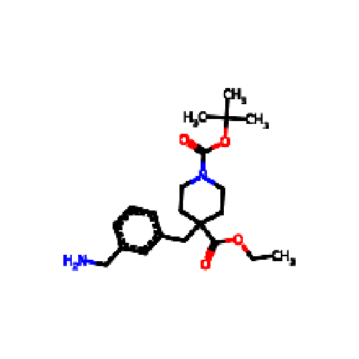 CCOC(=O)C1(Cc2cccc(CN)c2)CCN(C(=O)OC(C)(C)C)CC1